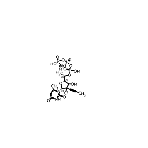 CC#CC1(Cl)C(O)[C@@H]([C@H](C)OP(=O)(O)OP(=O)(O)OP(=O)(O)O)O[C@H]1n1c(C)cc(=O)[nH]c1=O